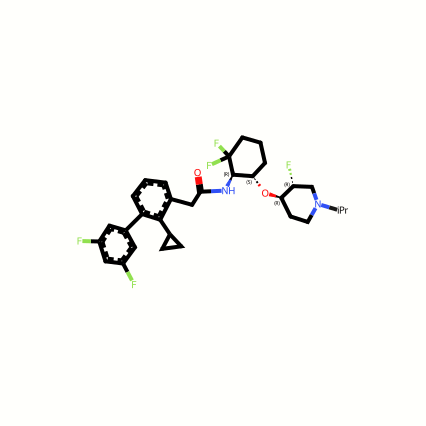 CC(C)N1CC[C@@H](O[C@H]2CCCC(F)(F)[C@@H]2NC(=O)Cc2cccc(-c3cc(F)cc(F)c3)c2C2CC2)[C@H](F)C1